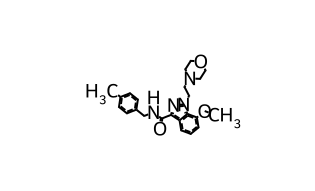 COc1cccc2c(C(=O)NCc3ccc(C)cc3)nn(CCN3CCOCC3)c12